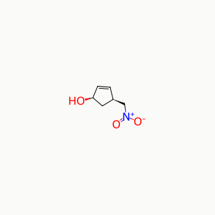 O=[N+]([O-])C[C@@H]1C=C[C@H](O)C1